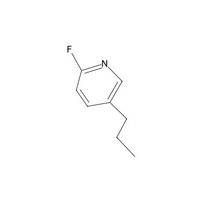 CCCc1ccc(F)nc1